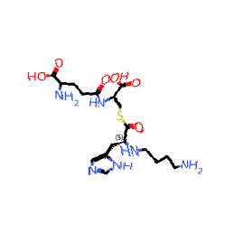 NCCCCN[C@@H](Cc1cnc[nH]1)C(=O)SCC(NC(=O)CCC(N)C(=O)O)C(=O)O